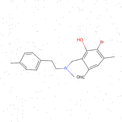 Cc1ccc(CCN(C)Cc2c(C=O)cc(C)c(Br)c2O)cc1